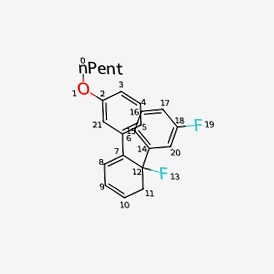 CCCCCOc1cccc(C2=CC=CCC2(F)c2cccc(F)c2)c1